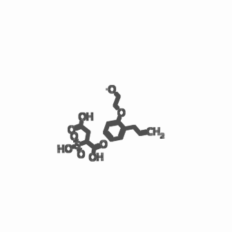 C=CCc1ccccc1OCC[O].O=C(O)CC(C(=O)O)S(=O)(=O)O